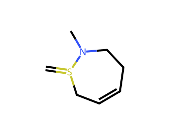 C=S1CC=CCCN1C